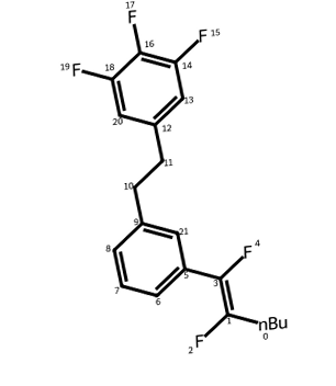 CCCC/C(F)=C(\F)c1cccc(CCc2cc(F)c(F)c(F)c2)c1